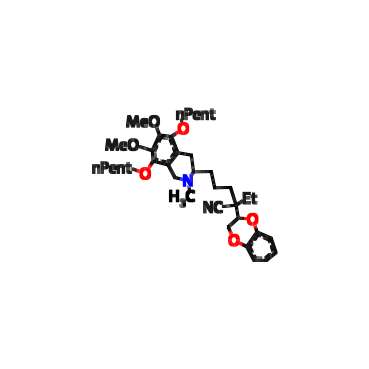 CCCCCOc1c2c(c(OCCCCC)c(OC)c1OC)CN(C)C(CCCC(C#N)(CC)C1COc3ccccc3O1)C2